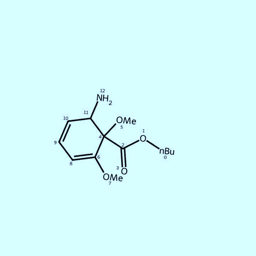 CCCCOC(=O)C1(OC)C(OC)=CC=CC1N